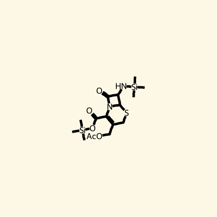 CC(=O)OCC1=C(C(=O)O[Si](C)(C)C)N2C(=O)C(N[Si](C)(C)C)C2SC1